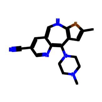 Cc1cc2c(s1)NC=c1cc(C#N)cnc1=C2N1CCN(C)CC1